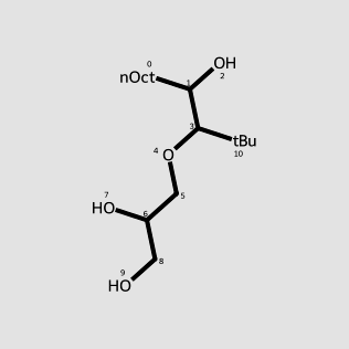 CCCCCCCCC(O)C(OCC(O)CO)C(C)(C)C